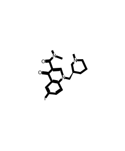 CN1CCC[C@@H](Cn2cc(C(=O)N(C)C)c(=O)c3cc(I)ccc32)C1